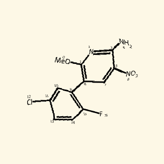 COc1nc(N)c([N+](=O)[O-])cc1-c1cc(Cl)ccc1F